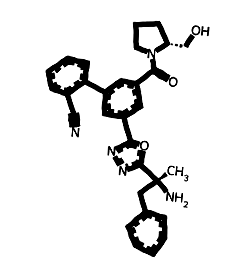 C[C@@](N)(Cc1ccccc1)c1nnc(-c2cc(C(=O)N3CCC[C@@H]3CO)cc(-c3ccccc3C#N)c2)o1